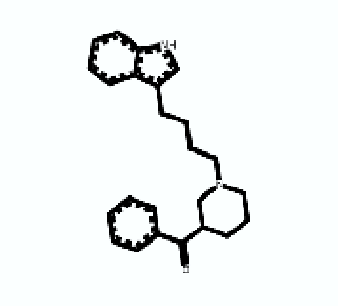 O=C(c1ccccc1)C1CCCN(CCCCc2c[nH]c3ccccc23)C1